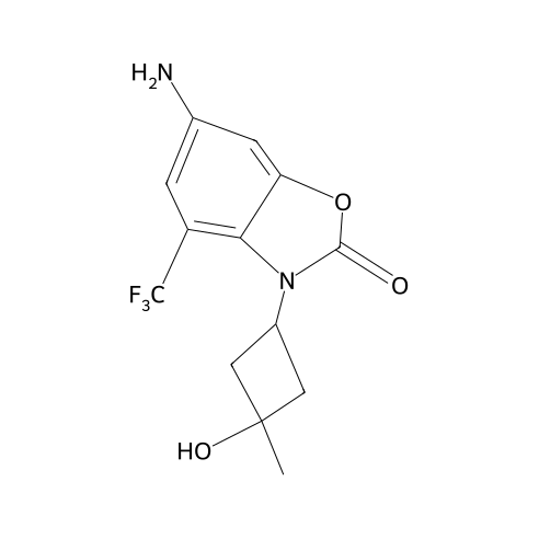 CC1(O)CC(n2c(=O)oc3cc(N)cc(C(F)(F)F)c32)C1